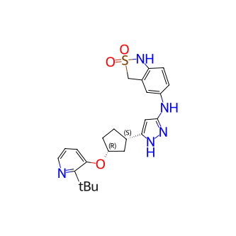 CC(C)(C)c1ncccc1O[C@@H]1CC[C@H](c2cc(Nc3ccc4c(c3)CS(=O)(=O)N4)n[nH]2)C1